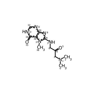 CN(C)CC(=O)CNc1nc2nc[nH]c(=O)c2n1C